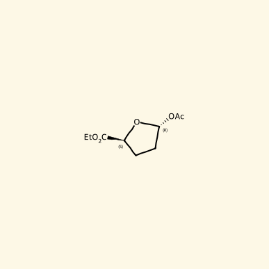 CCOC(=O)[C@@H]1CC[C@@H](OC(C)=O)O1